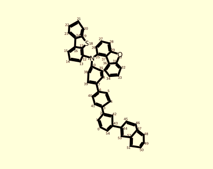 c1cc(-c2ccc(-c3ccc(N(c4cccc5c4sc4ccccc45)c4cccc5oc6ccccc6c45)cc3)cc2)cc(-c2ccc3ccccc3c2)c1